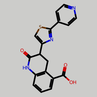 O=C(O)c1cccc2c1CC(c1csc(-c3ccncc3)n1)C(=O)N2